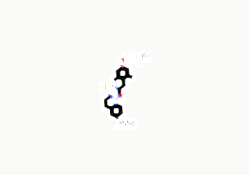 CCOC(=O)Oc1cc(C)c(C[C@@H](N)C(=O)N2CCCc3cc(OC)ccc32)c(C)c1